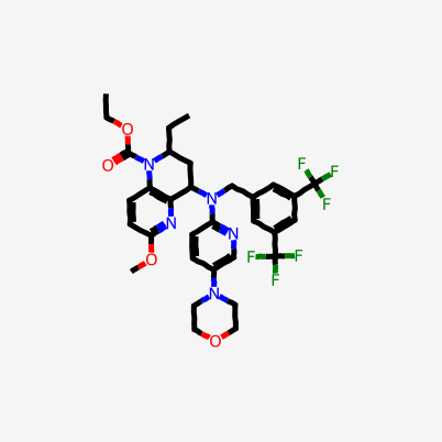 CCOC(=O)N1c2ccc(OC)nc2C(N(Cc2cc(C(F)(F)F)cc(C(F)(F)F)c2)c2ccc(N3CCOCC3)cn2)CC1CC